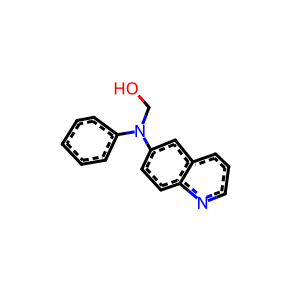 OCN(c1ccccc1)c1ccc2ncccc2c1